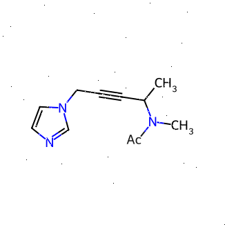 CC(=O)N(C)C(C)C#CCn1ccnc1